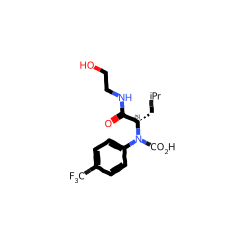 CC(C)C[C@@H](C(=O)NCCO)N(C(=O)O)c1ccc(C(F)(F)F)cc1